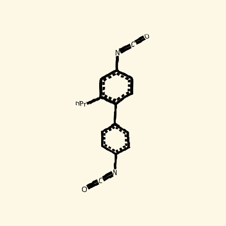 CCCc1cc(N=C=O)ccc1-c1ccc(N=C=O)cc1